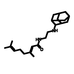 CC(C)=CCC/C(C)=C/C(=O)NCCNC1C2CC3CC(C2)CC1C3